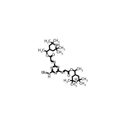 CC(OC(=O)/C=N/c1nc(/N=C/C(=O)OC(C)C2CC(C)(C)NC(C)(C)C2)nc(NC(C)(C)C)n1)C1CC(C)(C)NC(C)(C)C1